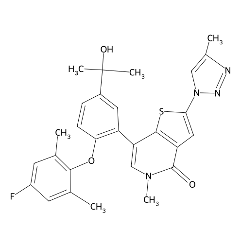 Cc1cn(-c2cc3c(=O)n(C)cc(-c4cc(C(C)(C)O)ccc4Oc4c(C)cc(F)cc4C)c3s2)nn1